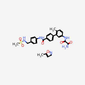 Cc1ccc(NC(=O)C(N)=O)cc1-c1ccc(C(=O)Nc2ccc(CNS(C)(=O)=O)cc2)cc1.Cc1ccno1